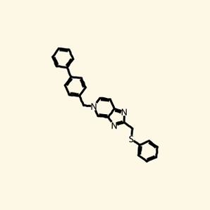 c1ccc(SCc2nc3ccn(Cc4ccc(-c5ccccc5)cc4)cc-3n2)cc1